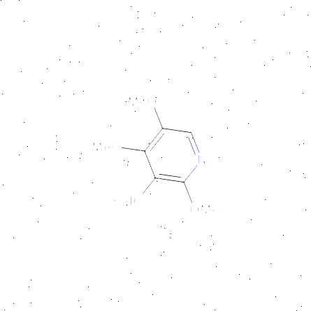 COc1cnc(OC)c(C=O)c1OC